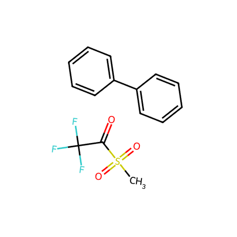 CS(=O)(=O)C(=O)C(F)(F)F.c1ccc(-c2ccccc2)cc1